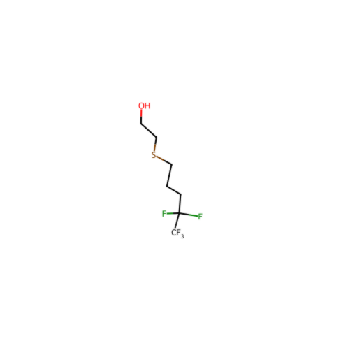 OCCSCCCC(F)(F)C(F)(F)F